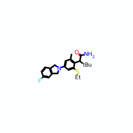 CCSc1cc(N2Cc3ccc(F)cc3C2)cc(C)c1C(C(N)=O)C(C)(C)C